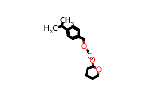 CC(C)c1ccc(COCCOC2CCCCO2)cc1